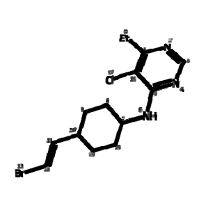 CCc1ncnc(NC2CCC(/C=C/Br)CC2)c1Cl